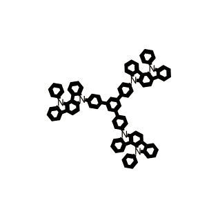 c1ccc(-n2c3ccccc3c3ccc4c(c5ccccc5n4-c4ccc(-c5cc(-c6ccc(-n7c8ccccc8c8c7ccc7c9ccccc9n(-c9ccccc9)c78)cc6)cc(-c6ccc(-n7c8ccccc8c8c7ccc7c9ccccc9n(-c9ccccc9)c78)cc6)c5)cc4)c32)cc1